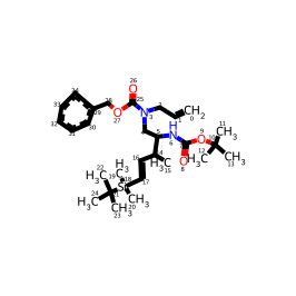 C=CCN(CC(NC(=O)OC(C)(C)C)C(C)C=C[Si](C)(C)C(C)(C)C)C(=O)OCc1ccccc1